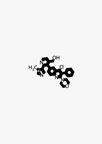 Cn1cncc1-c1nccc(CO)c1-c1ccc2nc(N3CCOCC3)c(-c3ccccc3)c(Cl)c2c1